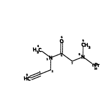 C#CCN(C)C(=O)CN(C)CCC